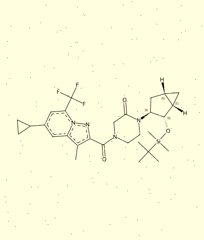 Cc1c(C(=O)N2CCN([C@H]3C[C@@H]4C[C@@H]4[C@@H]3O[Si](C)(C)C(C)(C)C)C(=O)C2)nn2c(C(F)(F)F)cc(C3CC3)cc12